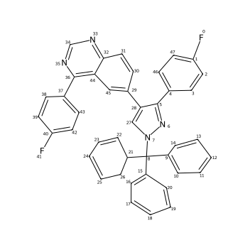 Fc1ccc(-c2nn(C(c3ccccc3)(c3ccccc3)C3C=CC=CC3)cc2-c2ccc3ncnc(-c4ccc(F)cc4)c3c2)cc1